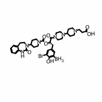 Bc1cc(C[C@@H](OC(=O)N2CCC(N3CCc4ccccc4NC3=O)CC2)C(=O)N2CCN(C3CCN(CCC(=O)O)CC3)CC2)cc(Br)c1O